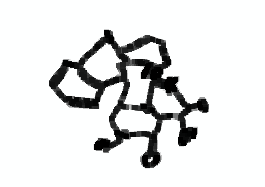 CC(C)N1CC(C2c3c#cccc3CSc3ccccc32)n2c(O)nc(=O)c(O)c2C1=O